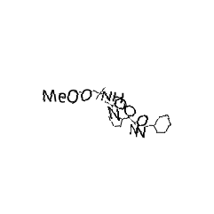 COCOCC(C)(C)NCC(=O)N1CCCC1C(=O)c1nnc(C2CCCCC2)o1